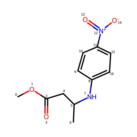 COC(=O)CC(C)Nc1ccc([N+](=O)[O-])cc1